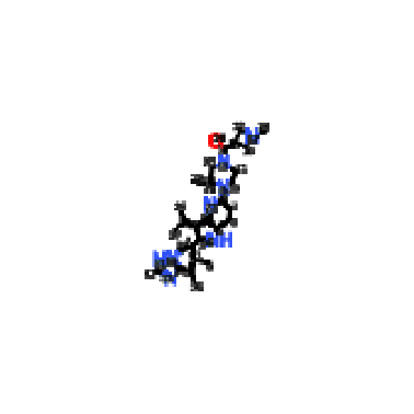 Cc1c(-c2[nH]c3ccc(N4CCN(C(=O)C5CN(C)C5)C[C@@H]4C)nc3c2C(C)C)cn2ncnc2c1C